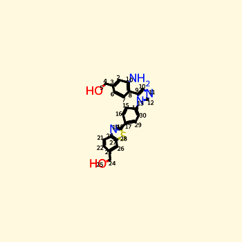 Nc1cc(CO)ccc1-c1cncn1-c1ccc(-c2nc3ccc(CO)cc3s2)cc1